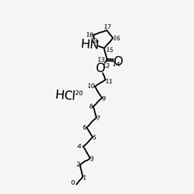 CCCCCCCCCCCCOC(=O)C1CCCN1.Cl